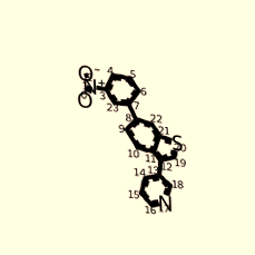 O=[N+]([O-])c1cccc(-c2ccc3c(-c4cccnc4)csc3c2)c1